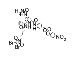 CC(C)[C@H](NC(=O)CCCCCN1C(=O)C(Br)=C(Br)C1=O)C(=O)N[C@@H](CCCNC(N)=O)C(=O)Nc1ccc(COC(=O)Oc2ccc([N+](=O)[O-])cc2)cc1